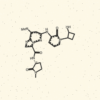 CNc1cc(Nc2cccn(C3CCC3O)c2=O)nn2c(C(=O)N[C@@H]3CCN(C)C3=O)cnc12